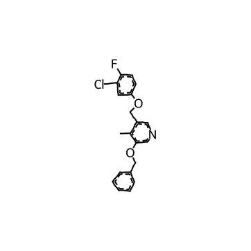 Cc1c(COc2ccc(F)c(Cl)c2)cncc1OCc1ccccc1